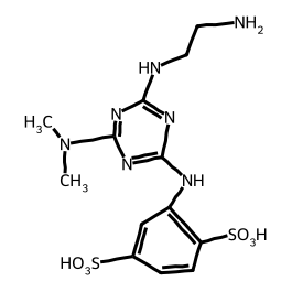 CN(C)c1nc(NCCN)nc(Nc2cc(S(=O)(=O)O)ccc2S(=O)(=O)O)n1